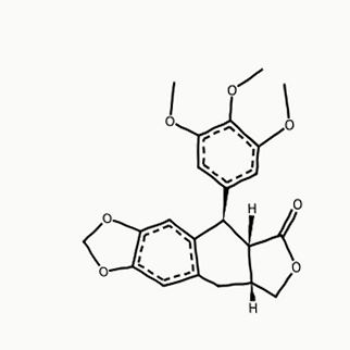 COc1cc([C@@H]2c3cc4c(cc3C[C@H]3COC(=O)[C@H]32)OCO4)cc(OC)c1OC